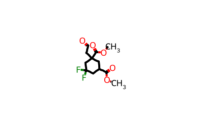 COC(=O)C1CC(F)(F)CC(CC=O)(C(=O)OC)C1